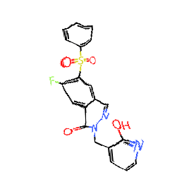 O=c1c2cc(F)c(S(=O)(=O)c3ccccc3)cc2cnn1Cc1cccnc1O